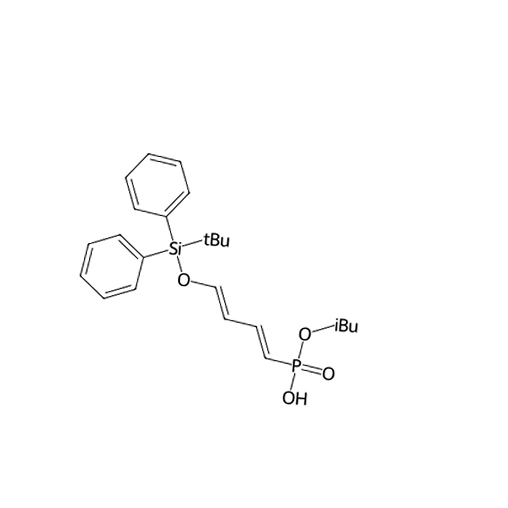 CCC(C)OP(=O)(O)C=CC=CO[Si](c1ccccc1)(c1ccccc1)C(C)(C)C